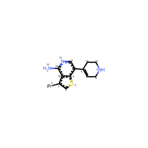 CC(C)c1csc2c(C3=CCNCC3)cnc(N)c12